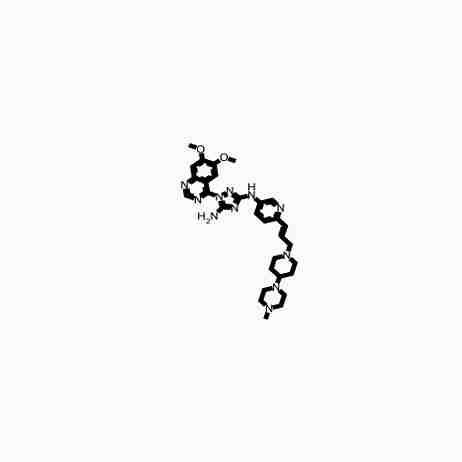 COc1cc2ncnc(-n3nc(Nc4ccc(C=CCN5CCC(N6CCN(C)CC6)CC5)nc4)nc3N)c2cc1OC